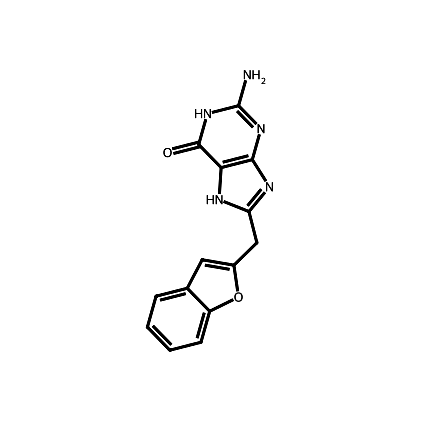 Nc1nc2nc(Cc3cc4ccccc4o3)[nH]c2c(=O)[nH]1